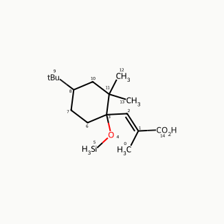 CC(=CC1(O[SiH3])CCC(C(C)(C)C)CC1(C)C)C(=O)O